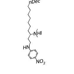 CCCCCCCCCCCCCCCCCC(CCNc1ccc([N+](=O)[O-])cc1)N(C)C.I